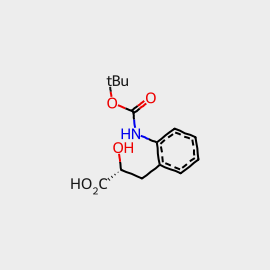 CC(C)(C)OC(=O)Nc1ccccc1C[C@@H](O)C(=O)O